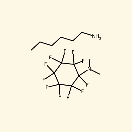 CCCCCCN.CN(C)C1(F)C(F)(F)C(F)(F)C(F)(F)C(F)(F)C1(F)F